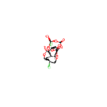 O=c1oc(=O)oc2c(Cl)cc(o1)c1c3cc(Cl)c(oc(=O)oc(=O)o3)c21